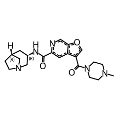 CN1CCN(C(=O)c2coc3cnc(C(=O)N[C@@H]4C[C@H]5CCN(C5)C4)cc23)CC1